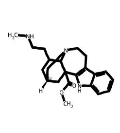 CNCCC1C[C@@H]2CN3CCc4c([nH]c5ccccc45)C(C(=O)OC)(C2)C13